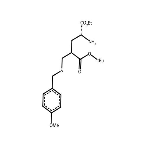 CCOC(=O)[C@H](N)CC(CSCc1ccc(OC)cc1)C(=O)OC(C)(C)C